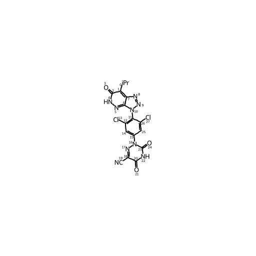 CC(C)c1c(=O)[nH]nc2c1nnn2-c1c(Cl)cc(-n2nc(C#N)c(=O)[nH]c2=O)cc1Cl